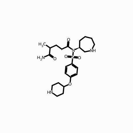 CC(C[CH]C(=O)N([C@H]1CCCCNC1)S(=O)(=O)c1ccc(OC2CCNCC2)cc1)C(N)=O